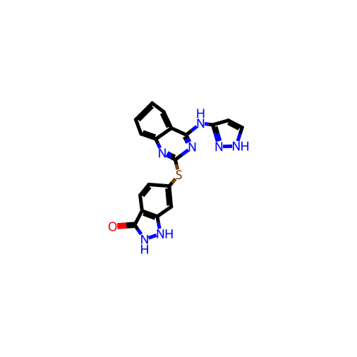 O=c1[nH][nH]c2cc(Sc3nc(Nc4cc[nH]n4)c4ccccc4n3)ccc12